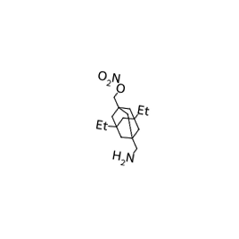 CCC12CC3(CC)CC(CN)(C1)CC(CO[N+](=O)[O-])(C2)C3